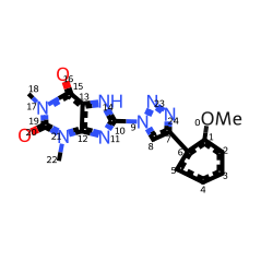 COc1ccccc1-c1cn(-c2nc3c([nH]2)c(=O)n(C)c(=O)n3C)nn1